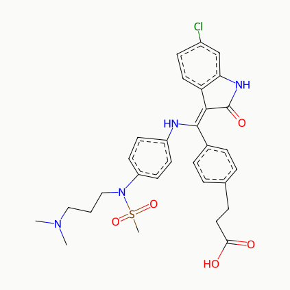 CN(C)CCCN(c1ccc(NC(=C2C(=O)Nc3cc(Cl)ccc32)c2ccc(CCC(=O)O)cc2)cc1)S(C)(=O)=O